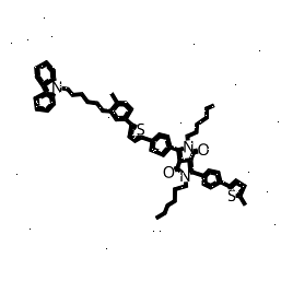 CCCCCCN1C(=O)C2=C(c3ccc(-c4ccc(-c5ccc(C)c(CCCCCCn6c7ccccc7c7ccccc76)c5)s4)cc3)N(CCCCCC)C(=O)C2=C1c1ccc(-c2ccc(C)s2)cc1